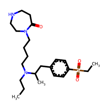 CCCN(CCCCN1CCNCCC1=O)C(C)Cc1ccc(S(=O)(=O)CC)cc1